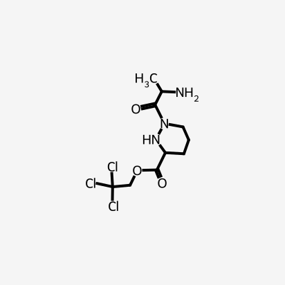 CC(N)C(=O)N1CCCC(C(=O)OCC(Cl)(Cl)Cl)N1